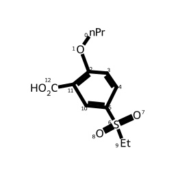 CCCOc1ccc(S(=O)(=O)CC)cc1C(=O)O